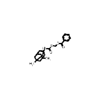 CC12CC3CC(C)(C1)CC(NC(=O)OCOC(=O)c1ccccc1)(C3)C2